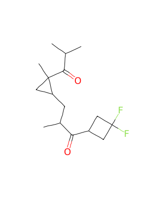 CC(C)C(=O)C1(C)CC1CC(C)C(=O)C1CC(F)(F)C1